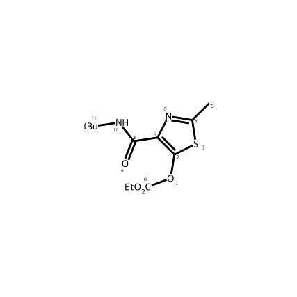 CCOC(=O)Oc1sc(C)nc1C(=O)NC(C)(C)C